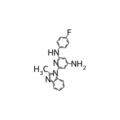 Cc1nc2ccccc2n1-c1cc(N)cc(Nc2ccc(F)cc2)n1